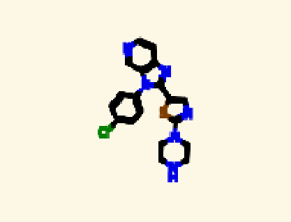 Clc1ccc(-n2c(-c3cnc(N4CCNCC4)s3)nc3ccncc32)cc1